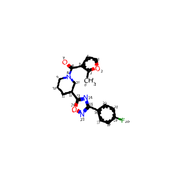 Cc1occc1C(=O)N1CCCC(c2nc(-c3ccc(F)cc3)no2)C1